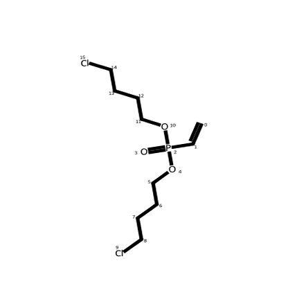 C=CP(=O)(OCCCCCl)OCCCCCl